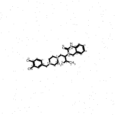 CC(C)C(CN1CCN(Cc2ccc(Cl)c(Cl)c2)CC1)N1Cc2ccccc2NC1=O